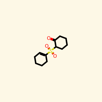 O=C1CCCCC1S(=O)(=O)C1=CCCCC1